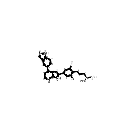 CCCCN(CCCC)CCCc1c(F)cc(-c2cc3c(-c4ccc5[nH]ncc5c4)ccnc3[nH]2)cc1F